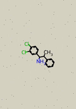 CC(c1ccccc1)C(N)c1ccc(Cl)c(Cl)c1